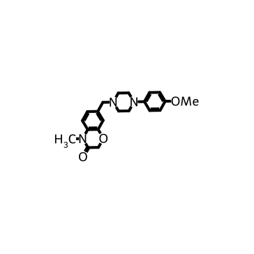 COc1ccc(N2CCN(Cc3ccc4c(c3)OCC(=O)N4C)CC2)cc1